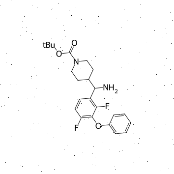 CC(C)(C)OC(=O)N1CCC(C(N)c2ccc(F)c(Oc3ccccc3)c2F)CC1